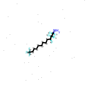 NC(F)(F)C(F)(F)C(F)CCCCCCCCC(F)(F)F